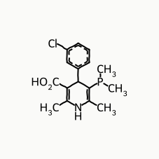 CC1=C(C(=O)O)C(c2cccc(Cl)c2)C(P(C)C)=C(C)N1